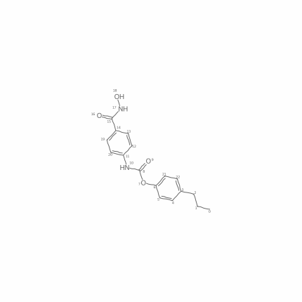 CCCc1ccc(OC(=O)Nc2ccc(C(=O)NO)cc2)cc1